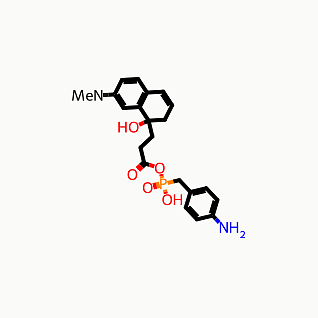 CNc1ccc2c(c1)C(O)(CCC(=O)OP(=O)(O)Cc1ccc(N)cc1)CC=C2